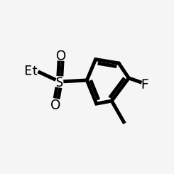 CCS(=O)(=O)c1ccc(F)c(C)c1